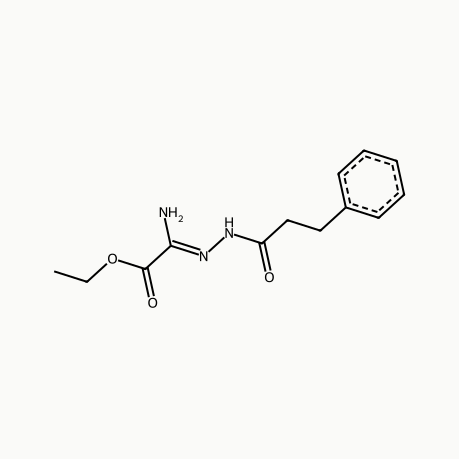 CCOC(=O)C(N)=NNC(=O)CCc1ccccc1